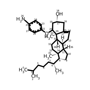 CC(C)CCC[C@@H](C)[C@H]1CC[C@H]2[C@@H]3CC=C4C[C@@H](O)CC(Oc5ccc(N)cc5)[C@]4(C)[C@H]3CC[C@]12C